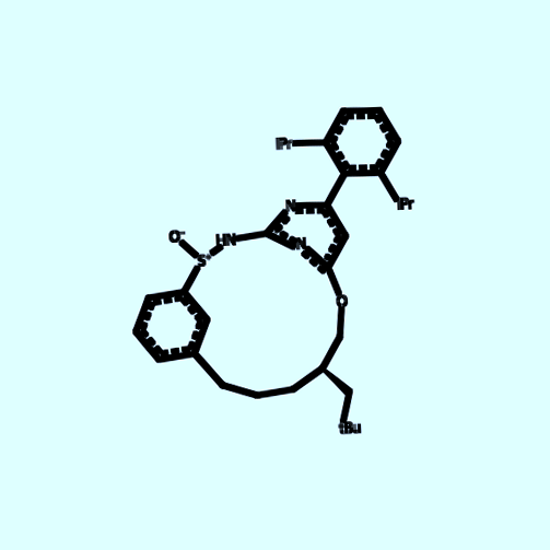 CC(C)c1cccc(C(C)C)c1-c1cc2nc(n1)N[S+]([O-])c1cccc(c1)CCC[C@H](CC(C)(C)C)CO2